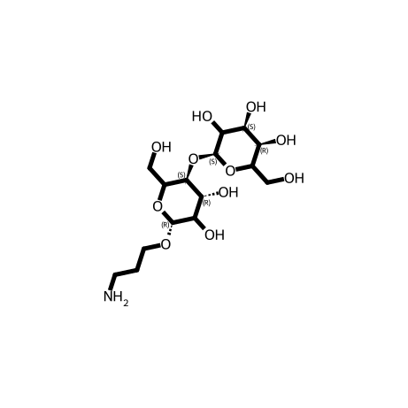 NCCCO[C@@H]1OC(CO)[C@@H](O[C@@H]2OC(CO)[C@H](O)[C@H](O)C2O)[C@H](O)C1O